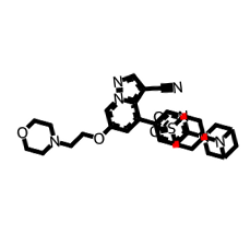 N#Cc1cnn2cc(OCCN3CCOCC3)cc(-c3ccc(N4CC5CC(C4)N5C4CCS(=O)(=O)CC4)nc3)c12